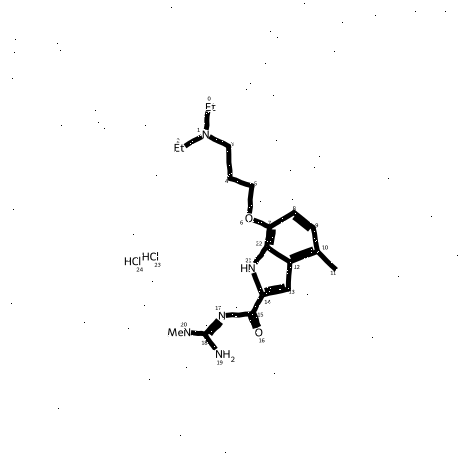 CCN(CC)CCCOc1ccc(C)c2cc(C(=O)N=C(N)NC)[nH]c12.Cl.Cl